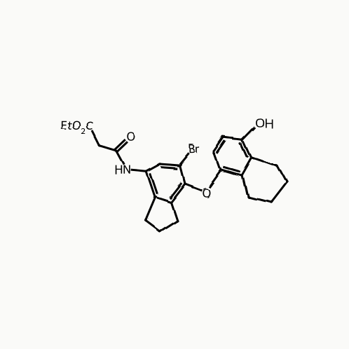 CCOC(=O)CC(=O)Nc1cc(Br)c(Oc2ccc(O)c3c2CCCC3)c2c1CCC2